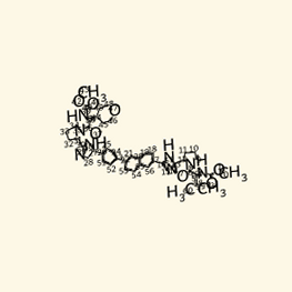 COC(=O)N[C@H](C(=O)N1CCCC1c1ncc(-c2ccc3cc(-c4ccc(C5CN=C(C6CCCN6C(=O)[C@H](NC(=O)OC)C6CCOCC6)N5)cc4)ccc3c2)[nH]1)C(C)C